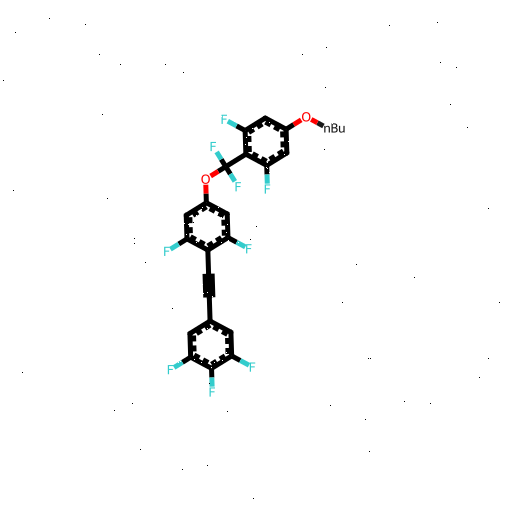 CCCCOc1cc(F)c(C(F)(F)Oc2cc(F)c(C#Cc3cc(F)c(F)c(F)c3)c(F)c2)c(F)c1